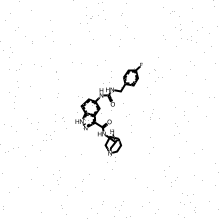 O=C(NCc1ccc(F)cc1)Nc1ccc2[nH]nc(C(=O)N[C@H]3CN4CCC3CC4)c2c1